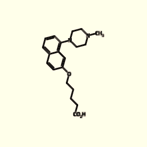 CN1CCN(c2cccc3ccc(OCCCCC(=O)O)cc23)CC1